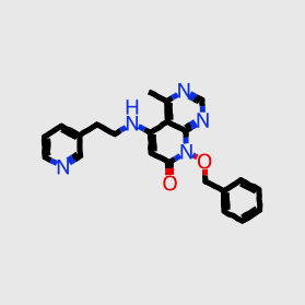 Cc1ncnc2c1c(NCCc1cccnc1)cc(=O)n2OCc1ccccc1